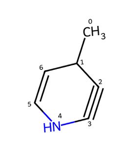 CC1C#CNC=C1